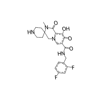 CN1C(=O)c2c(O)c(=O)c(C(=O)NCc3ccc(F)cc3F)cn2CC12CCNCC2